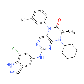 C[C@@H]1C(=O)N(c2cccc(C#N)c2)c2cnc(Nc3cc(Cl)c4[nH]ncc4c3)nc2N1C1CCCCC1